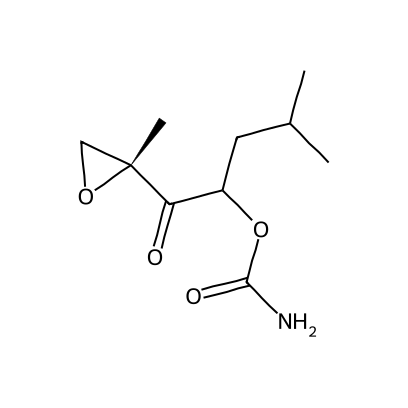 CC(C)CC(OC(N)=O)C(=O)[C@@]1(C)CO1